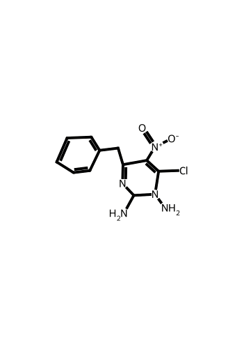 NC1N=C(Cc2ccccc2)C([N+](=O)[O-])=C(Cl)N1N